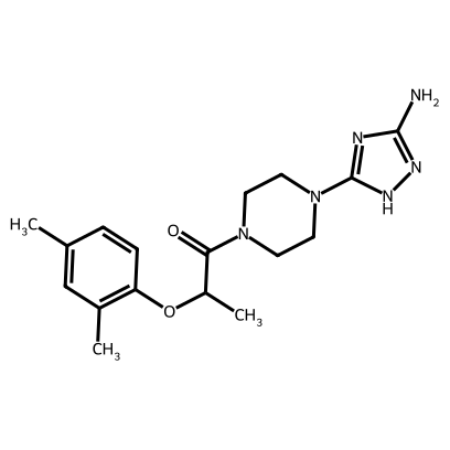 Cc1ccc(OC(C)C(=O)N2CCN(c3nc(N)n[nH]3)CC2)c(C)c1